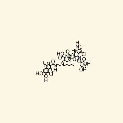 CCCCCN(CCNC(=O)c1nn(CC)c2cc(O)c(O)c(Cl)c2c1=O)CC1=C(C(=O)O)N2C(=O)[C@@H](NC(=O)/C(=N\O[C@@H](CC(=O)O)C(=O)O)c3nc(N)sc3Cl)[C@H]2SC1